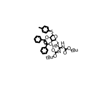 Cc1ccc(S[C@@H]2O[C@H](CN/C(=N\C(=O)OC(C)(C)C)NC(=O)OC(C)(C)C)C(OC(=O)c3ccccc3)[C@@H]2OC(=O)c2ccccc2)cc1